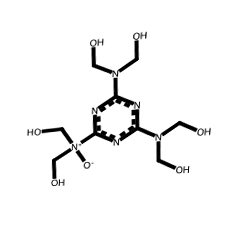 [O-][N+](CO)(CO)c1nc(N(CO)CO)nc(N(CO)CO)n1